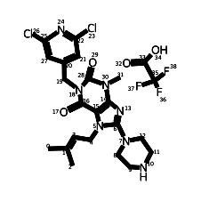 CC(C)=CCn1c(N2CCNCC2)nc2c1c(=O)n(Cc1cc(Cl)nc(Cl)c1)c(=O)n2C.O=C(O)C(F)(F)F